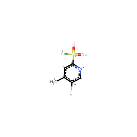 Cc1cc(S(=O)(=O)Cl)ncc1F